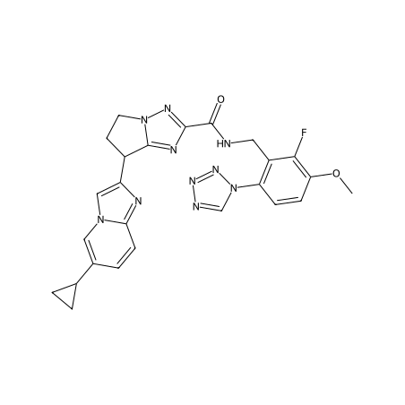 COc1ccc(-n2cnnn2)c(CNC(=O)c2nc3n(n2)CCC3c2cn3cc(C4CC4)ccc3n2)c1F